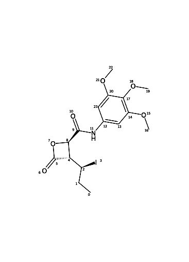 CC[C@H](I)[C@@H]1C(=O)O[C@H]1C(=O)Nc1cc(OC)c(OC)c(OC)c1